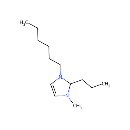 CCCCCCN1C=CN(C)C1CCC